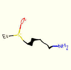 CC[S+]([O-])CCCN